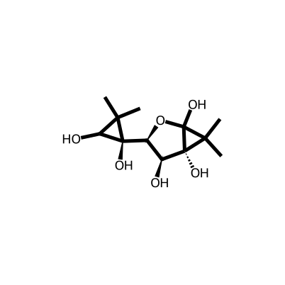 CC1(C)C2(O)O[C@H]([C@]3(O)C(O)C3(C)C)[C@H](O)[C@]12O